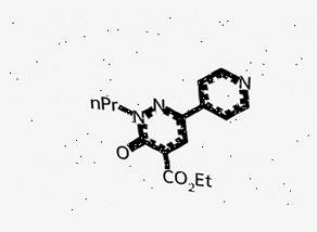 CCCn1nc(-c2ccncc2)cc(C(=O)OCC)c1=O